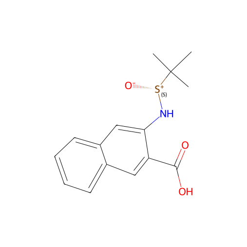 CC(C)(C)[S@@+]([O-])Nc1cc2ccccc2cc1C(=O)O